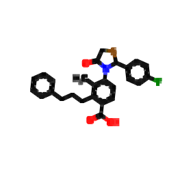 Cc1c(N2C(=O)CSC2c2ccc(F)cc2)ccc(C(=O)O)c1CCCc1ccccc1